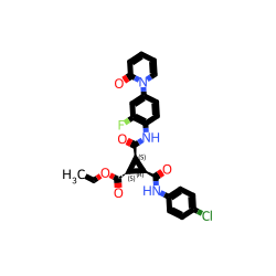 CCOC(=O)[C@H]1[C@H](C(=O)Nc2ccc(Cl)cc2)[C@@H]1C(=O)Nc1ccc(-n2ccccc2=O)cc1F